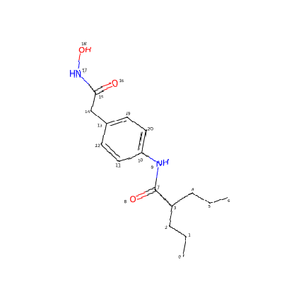 CCCC(CCC)C(=O)Nc1ccc(CC(=O)NO)cc1